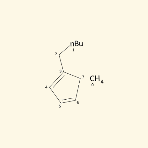 C.CCCCCC1=CC=CC1